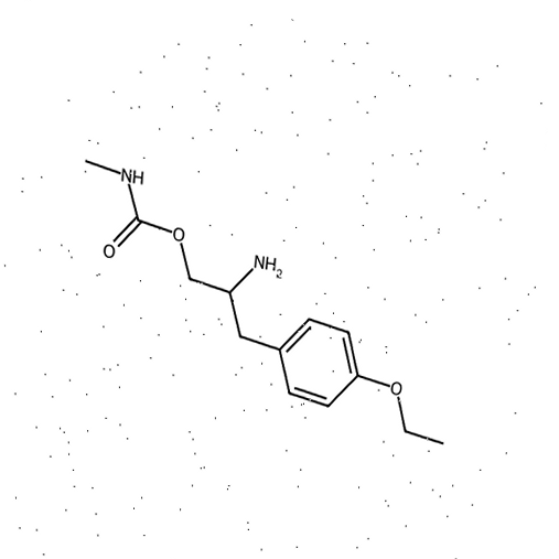 CCOc1ccc(CC(N)COC(=O)NC)cc1